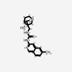 Cc1ccc2cnc(NC(=S)NC[C@]3(O)CN4CCC3CC4)cc2c1